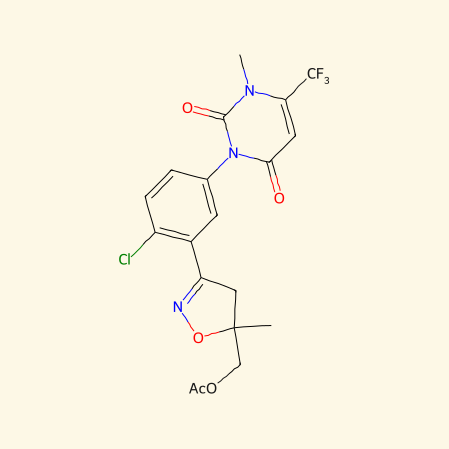 CC(=O)OCC1(C)CC(c2cc(-n3c(=O)cc(C(F)(F)F)n(C)c3=O)ccc2Cl)=NO1